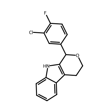 Fc1ccc(C2OCCc3c2[nH]c2ccccc32)cc1Cl